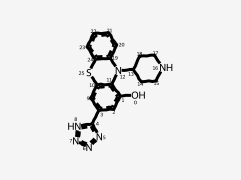 Oc1cc(-c2nnn[nH]2)cc2c1N(C1CCNCC1)c1ccccc1S2